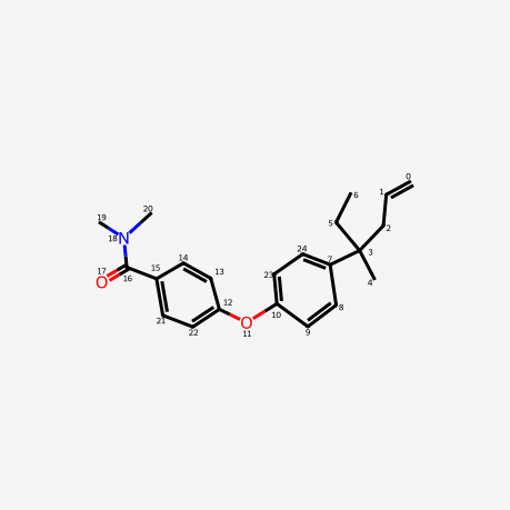 C=CCC(C)(CC)c1ccc(Oc2ccc(C(=O)N(C)C)cc2)cc1